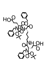 CC(C)(C)OC(=O)N(Cc1ccccc1)[C@@H](CCC(=O)O)C(=O)NCCCC[C@H](NC(=O)[C@H](CCC(=O)O)N(Cc1ccccc1)C(=O)OC(C)(C)C)C(=O)OCc1ccccc1